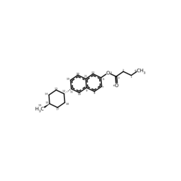 CCCC(=O)Oc1ccc2cc([C@H]3CC[C@H](C)CC3)ccc2c1